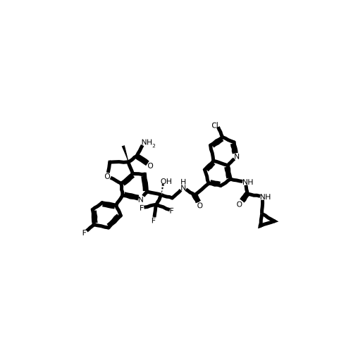 C[C@]1(C(N)=O)COc2c1cc([C@@](O)(CNC(=O)c1cc(NC(=O)NC3CC3)c3ncc(Cl)cc3c1)C(F)(F)F)nc2-c1ccc(F)cc1